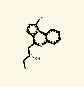 CCc1nnc2c(C[C@H](O)CN)nc3ccccc3n12